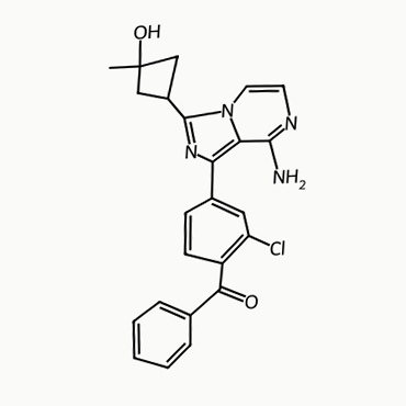 CC1(O)CC(c2nc(-c3ccc(C(=O)c4ccccc4)c(Cl)c3)c3c(N)nccn23)C1